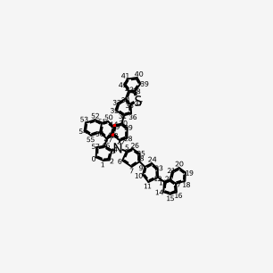 c1ccc(N(c2ccc(-c3ccc(-c4cccc5ccccc45)cc3)cc2)c2ccc(-c3ccc4c(c3)sc3ccccc34)cc2)c(-c2cccc3ccccc23)c1